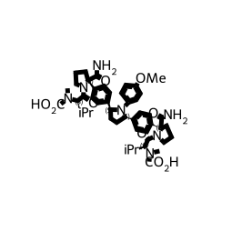 COc1ccc(N2[C@H](c3ccc([C@]4(C(N)=O)CCCN4C(=O)[C@H](C(C)C)N(C)C(=O)O)cc3)CC[C@H]2c2ccc([C@]3(C(N)=O)CCCN3C(=O)[C@H](C(C)C)N(C)C(=O)O)cc2)cc1